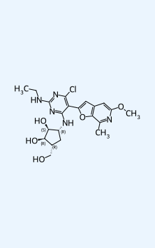 CCNc1nc(Cl)c(-c2cc3cc(OC)nc(C)c3o2)c(N[C@@H]2C[C@H](CO)[C@@H](O)[C@H]2O)n1